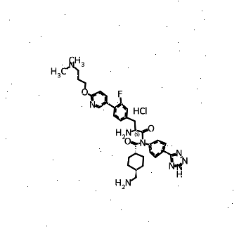 CN(C)CCCOc1ccc(-c2ccc(C[C@H](N)C(=O)N(c3ccc(-c4nn[nH]n4)cc3)C(=O)[C@H]3CC[C@H](CN)CC3)cc2F)cn1.Cl